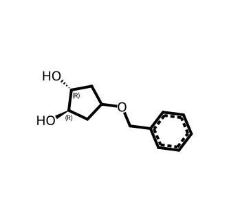 O[C@@H]1CC(OCc2ccccc2)C[C@H]1O